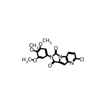 COc1cc(N2C(=O)c3cc4nc(Cl)ccc4n3C2=O)cc(OC)c1OC